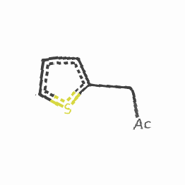 CC(=O)Cc1cc[c]s1